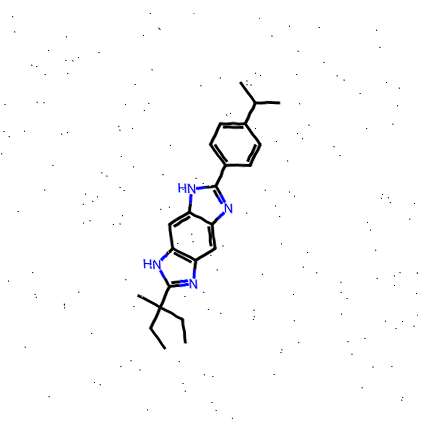 CCC(C)(CC)c1nc2cc3nc(-c4ccc(C(C)C)cc4)[nH]c3cc2[nH]1